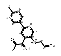 CC(=O)C(=N)c1cc(-c2cnc(C)nc2)ncc1NCC=O